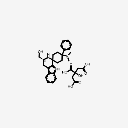 CN(C)C1(c2ccccc2)CCC2(CC1)N[C@H](CO)Cc1c2[nH]c2ccccc12.O=C(O)CC(O)(CC(=O)O)C(=O)O